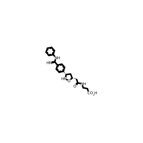 N=C(Nc1ccccc1)c1ccc([C@@H]2C[C@H](CC(=O)NCCC(=O)O)ON2)cc1